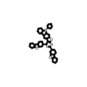 c1ccc(-n2c3ccccc3c3cc4c(cc32)oc2nc(-c3ccc5c(c3)oc3ccccc35)nc(-c3ccc5c(c3)oc3ccccc35)c24)cc1